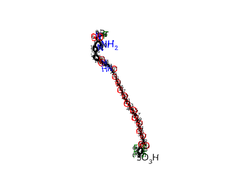 CCCN(OCF)C(=O)C1=Cc2ccc(-c3cccc(S(=O)(=O)N4CC(CNC(=O)CCOCCOCCOCCOCCOCCOCCOCCOCCOCCOCCC(=O)Oc5c(F)c(F)c(S(=O)(=O)O)c(F)c5F)C4)c3)cc2N=C(N)C1